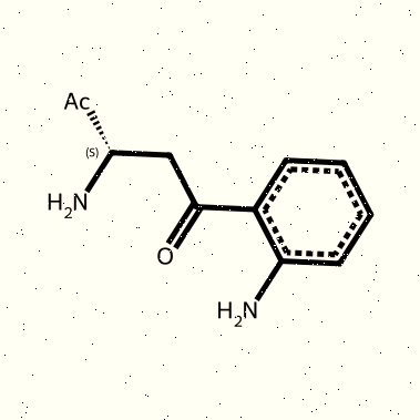 CC(=O)[C@@H](N)CC(=O)c1ccccc1N